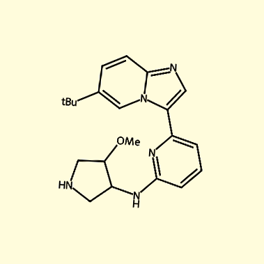 COC1CNCC1Nc1cccc(-c2cnc3ccc(C(C)(C)C)cn23)n1